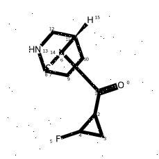 O=C(C1CC1F)N1CC2CC[C@@H](CN2)C1